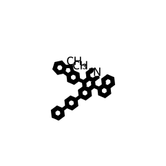 CC1(C)c2ccccc2-c2ccc(-c3c4cc(-c5ccc(-c6ccccc6)cc5)ccc4c(-c4cccc5ccccc45)c4cnccc34)cc21